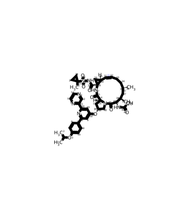 CC(C)Oc1ccc(-c2cc(O[C@@H]3C[C@H]4C(=O)N[C@]5(C(=O)NS(=O)(=O)C6(C)CC6)C[C@H]5/C=C\CC[C@H](C)C[C@@H](C)[C@H](NC(=O)O)C(=O)N4C3)cc(-c3cnccn3)n2)cc1